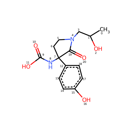 CC(O)CN1CCC(NC(=O)O)(c2ccc(O)cc2)C1=O